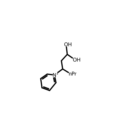 CCCC(CC(O)O)[n+]1ccccc1